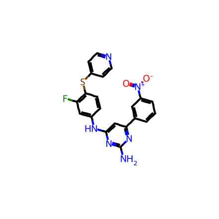 Nc1nc(Nc2ccc(Sc3ccncc3)c(F)c2)cc(-c2cccc([N+](=O)[O-])c2)n1